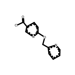 O=C(Cl)c1ccc(OCc2ccccn2)nc1